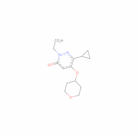 O=C(O)Cn1nc(C2CC2)c(OC2CCOCC2)cc1=O